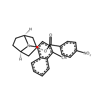 N#Cc1ccc(N2[C@@H]3CC[C@H]2C[C@H](OC(=O)c2ccc([N+](=O)[O-])cc2)C3)c2ccccc12